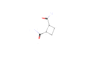 NC(=O)C1CCC1C(N)=O